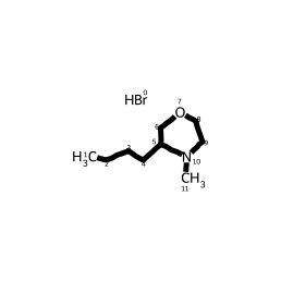 Br.CCCCC1COCCN1C